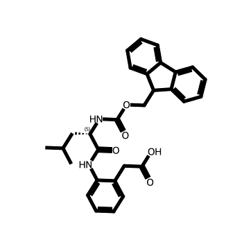 CC(C)C[C@H](NC(=O)OCC1c2ccccc2-c2ccccc21)C(=O)Nc1ccccc1CC(=O)O